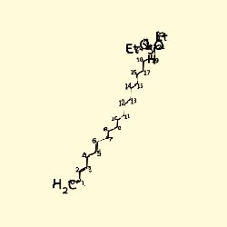 C=CCCCCCCCCCCCCCCCCCC[SiH](OCC)OCC